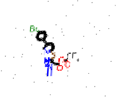 O=C(OC(=O)C(F)(F)F)c1[nH]nnc1Sc1ccc(-c2ccc(Br)cc2)cn1